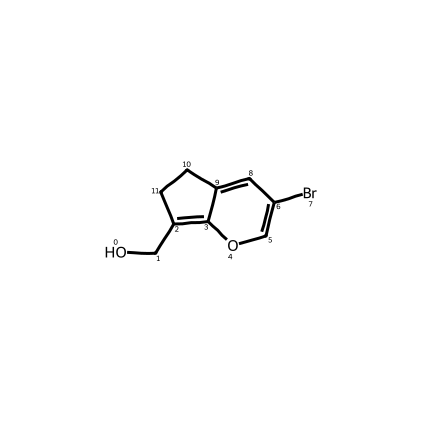 OCC1=C2OC=C(Br)C=C2CC1